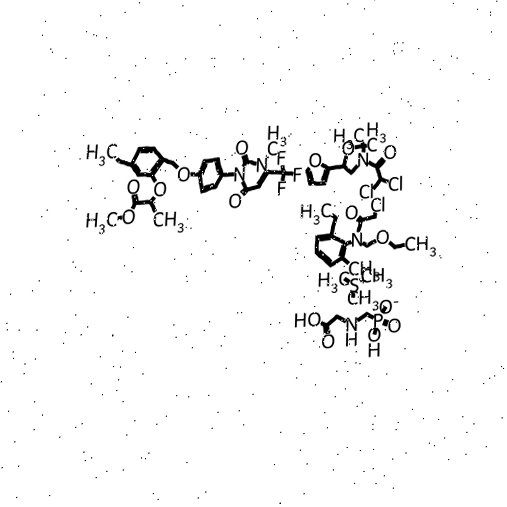 CC1(C)OC(c2ccco2)CN1C(=O)C(Cl)Cl.CCOCN(C(=O)CCl)c1c(C)cccc1CC.CCc1ccc(COc2ccc(-n3c(=O)cc(C(F)(F)F)n(C)c3=O)cc2)c(OC(C)C(=O)OC)c1.C[S+](C)C.O=C(O)CNCP(=O)([O-])O